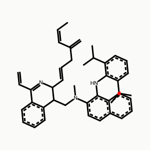 C=CC1=NC(/C=C/CC(=C)/C=C\C)C(CN(C)c2ccc3ccccc3c2Nc2c(C(C)C)cccc2C(C)C)c2ccccc21